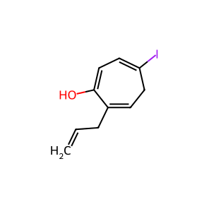 C=CCC1=CCC(I)=CC=C1O